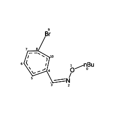 CCCCO/N=[C]\c1cccc(Br)c1